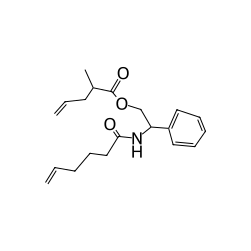 C=CCCCC(=O)NC(COC(=O)C(C)CC=C)c1ccccc1